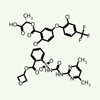 C[C@H](OC(=O)c1cc(Oc2ccc(C(F)(F)F)cc2Cl)ccc1Cl)C(=O)O.Cc1cc(C)nc(NC(=O)NS(=O)(=O)c2ccccc2C(=O)OC2COC2)n1